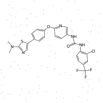 CN(C)c1ncc(-c2ccc(Oc3ccc(NC(=O)Nc4ccc(C(F)(F)F)cc4Cl)cn3)cc2)s1